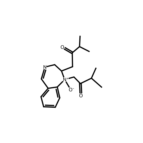 CC(C)C(=O)CC1CN=Cc2ccccc2[N+]1([O-])CC(=O)C(C)C